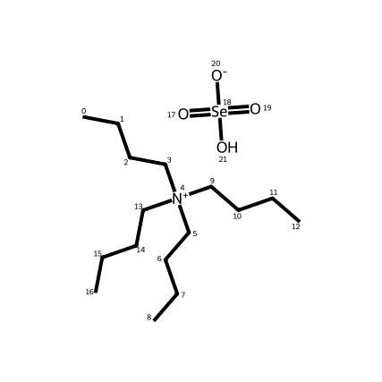 CCCC[N+](CCCC)(CCCC)CCCC.O=[Se](=O)([O-])O